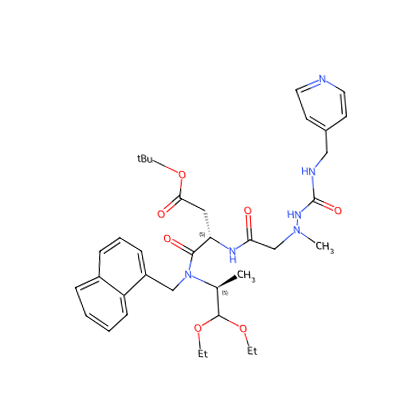 CCOC(OCC)[C@H](C)N(Cc1cccc2ccccc12)C(=O)[C@H](CC(=O)OC(C)(C)C)NC(=O)CN(C)NC(=O)NCc1ccncc1